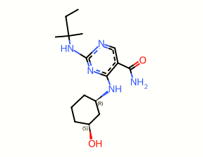 CCC(C)(C)Nc1ncc(C(N)=O)c(N[C@@H]2CCC[C@H](O)C2)n1